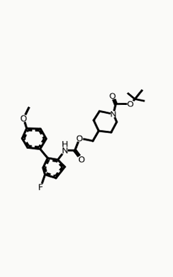 COc1ccc(-c2cc(F)ccc2NC(=O)OCC2CCN(C(=O)OC(C)(C)C)CC2)cc1